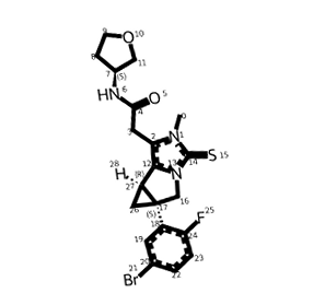 Cn1c(CC(=O)N[C@H]2CCOC2)c2n(c1=S)C[C@@]1(c3cc(Br)ccc3F)C[C@@H]21